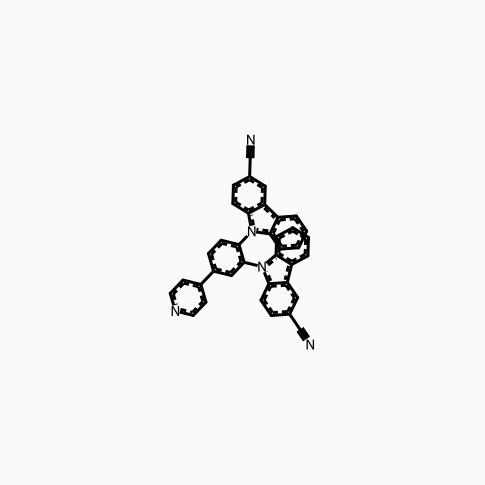 N#Cc1ccc2c(c1)c1ccccc1n2-c1ccc(-c2ccncc2)cc1-n1c2ccccc2c2cc(C#N)ccc21